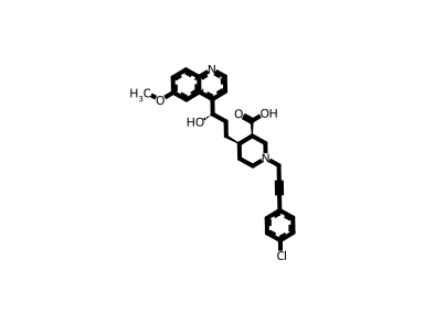 COc1ccc2nccc([C@@H](O)CC[C@@H]3CCN(CC#Cc4ccc(Cl)cc4)C[C@@H]3C(=O)O)c2c1